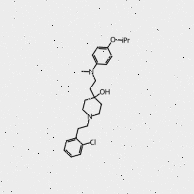 CC(C)Oc1ccc(N(C)CCC2(O)CCN(CCc3ccccc3Cl)CC2)cc1